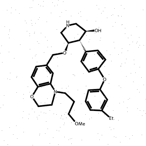 CCc1cccc(Oc2ccc([C@H]3[C@H](O)CNC[C@@H]3OCc3ccc4c(c3)N(CCCOC)CCO4)cc2)c1